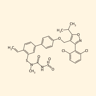 C=Cc1ccc(-c2ccc(OCc3c(-c4c(Cl)cccc4Cl)noc3C(C)C)cc2)cc1SN(C)C(=O)N[SH](=O)=O